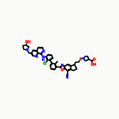 Cc1c(-c2nc3cc4c(c(C#N)c3o2)CCC4CCSN2CC[C@@H](C(=O)O)C2)cccc1-c1cccc(Nc2nccc3cc(CN4CC[C@@H](O)C4)cnc23)c1Cl